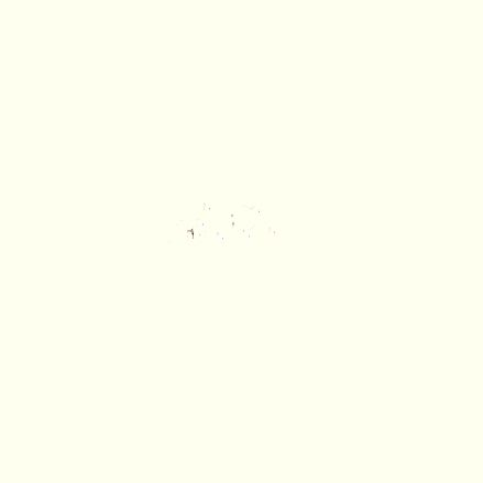 N#Cc1cnc(NCC2CCCCC2)nc1NC[C@]12CC3C[C@H](C1)[C@@H](N)[C@@H](C3)C2